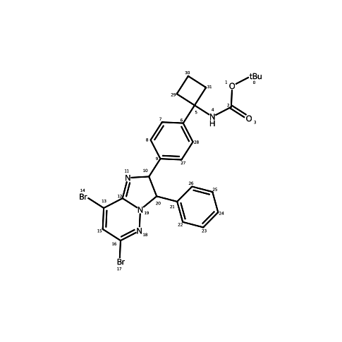 CC(C)(C)OC(=O)NC1(c2ccc(C3N=C4C(Br)=CC(Br)=NN4C3c3ccccc3)cc2)CCC1